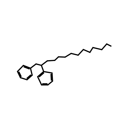 CCCCCCCCCCCC[C](Cc1ccccc1)c1ccccc1